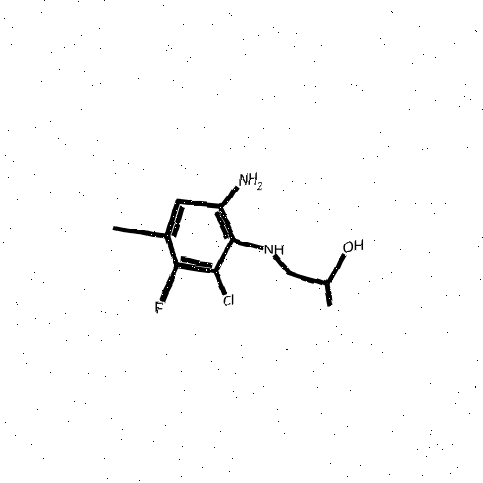 Cc1cc(N)c(NCC(C)O)c(Cl)c1F